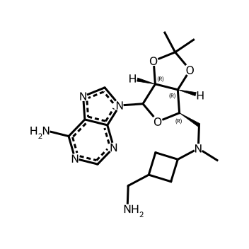 CN(C[C@H]1OC(n2cnc3c(N)ncnc32)[C@@H]2OC(C)(C)O[C@H]12)C1CC(CN)C1